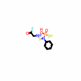 O=C(F)CNSN(c1ccccc1)P(=O)(O)S